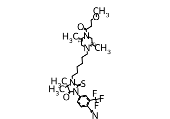 COCCC(=O)N1C[C@@H](C)N(CCCCCCN2C(=S)N(c3ccc(C#N)c(C(F)(F)F)c3)C(=O)C2(C)C)C[C@@H]1C